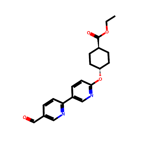 CCOC(=O)[C@H]1CC[C@H](Oc2ccc(-c3ccc(C=O)cn3)cn2)CC1